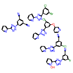 Clc1cc(Br)cc(-c2nnn(-c3ccccn3)n2)c1.Clc1cc(Oc2cccnc2)cc(-c2nnn(-c3ccccn3)n2)c1.N#Cc1cc(C#N)cc(-n2nnc(-c3ccccn3)n2)c1.N#Cc1cc(Cl)cc(-c2nnn(-c3ccccn3)n2)c1.N#Cc1cc(F)cc(-n2nnc(-c3cccc[n+]3O)n2)c1